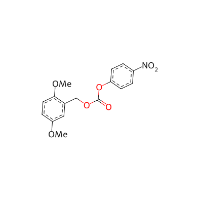 COc1ccc(OC)c(COC(=O)Oc2ccc([N+](=O)[O-])cc2)c1